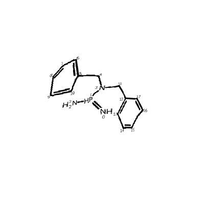 N=[PH](N)N(Cc1ccccc1)Cc1ccccc1